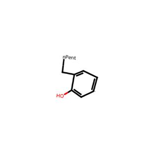 CCCCCCc1cc[c]cc1O